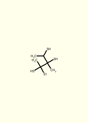 CCC(C)(S)C(C)(S)C(C)S